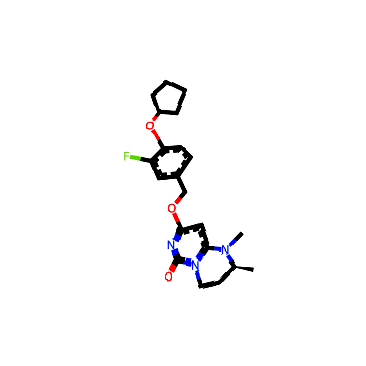 C[C@H]1CCn2c(cc(OCc3ccc(OC4CCCC4)c(F)c3)nc2=O)N1C